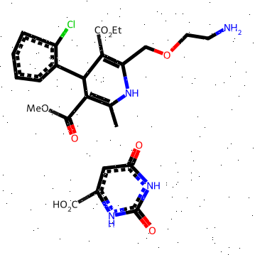 CCOC(=O)C1=C(COCCN)NC(C)=C(C(=O)OC)C1c1ccccc1Cl.O=C(O)c1cc(=O)[nH]c(=O)[nH]1